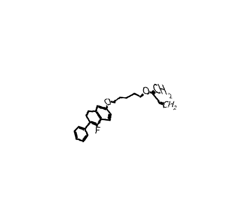 C=CC(=C)OCCCCCOc1ccc2c(c1)CCC(c1ccccc1)=C2F